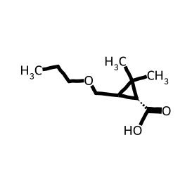 CCCOCC1[C@@H](C(=O)O)C1(C)C